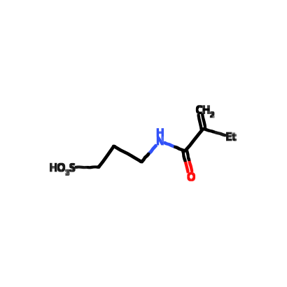 C=C(CC)C(=O)NCCCS(=O)(=O)O